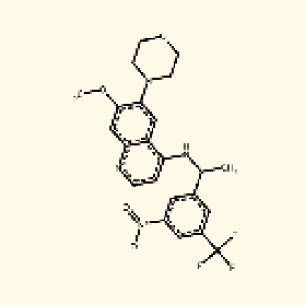 COc1cc2nccc(NC(C)c3cc([N+](=O)[O-])cc(C(F)(F)F)c3)c2cc1N1CCOCC1